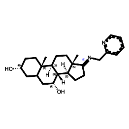 C[C@]12CC[C@@H](O)CC1C[C@@H](O)[C@@H]1[C@@H]2CC[C@]2(C)/C(=N/Cc3ccccn3)CC[C@@H]12